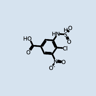 O=C(O)c1cc(N[SH](=O)=O)c(Cl)c([N+](=O)[O-])c1